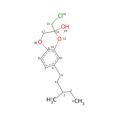 CCC(C)CCc1ccc2c(c1)OC(O)(CCl)CO2